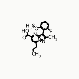 CCCc1cc(C(=O)O)nc2c(-c3c(F)cccc3OC)c(C)nn12